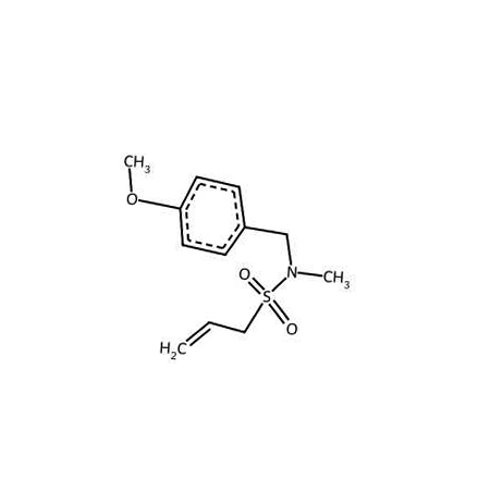 C=CCS(=O)(=O)N(C)Cc1ccc(OC)cc1